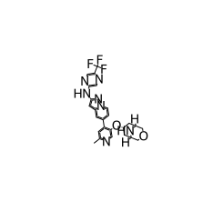 Cc1cc(-c2ccn3nc(Nc4cnc(C(F)(F)F)cn4)cc3c2)c(O[C@H]2C[C@H]3COC[C@@H](C2)N3)cn1